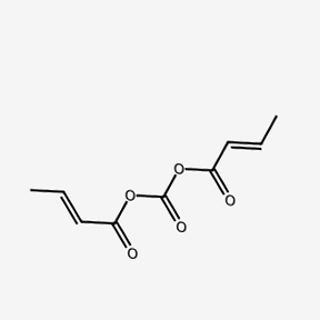 C/C=C/C(=O)OC(=O)OC(=O)/C=C/C